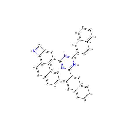 C1=Nc2c1cc(-c1nc(-c3ccc4ccccc4c3)nc(-c3ccc4ccccc4c3)n1)c1c2ccc2ccccc21